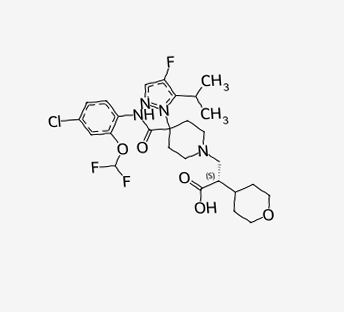 CC(C)c1c(F)cnn1C1(C(=O)Nc2ccc(Cl)cc2OC(F)F)CCN(C[C@@H](C(=O)O)C2CCOCC2)CC1